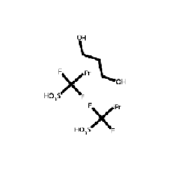 CC(C)C(F)(F)S(=O)(=O)O.CC(C)C(F)(F)S(=O)(=O)O.OCCCO